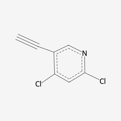 C#Cc1cnc(Cl)cc1Cl